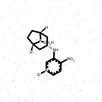 O=C(O)N1[C@@H]2CC[C@H]1C[C@@H](Nc1c[n+]([O-])ccc1[N+](=O)[O-])C2